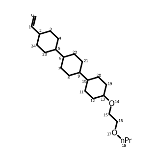 C=CC1CCC(C2CCC(C3CCC(OCCOCCC)CC3)CC2)CC1